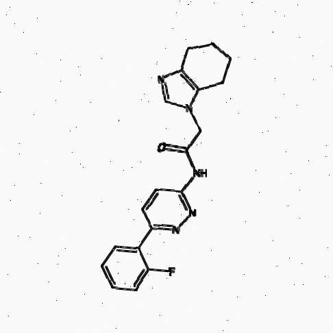 O=C(Cn1cnc2c1CCCC2)Nc1ccc(-c2ccccc2F)nn1